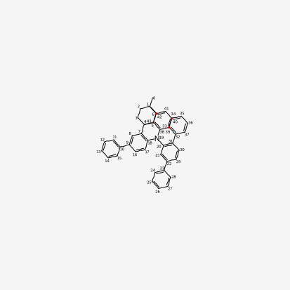 CC12CCC3(CC1)c1cc(-c4ccccc4)ccc1N(c1cc(-c4ccccc4)ccc1-c1ccccc1)c1cccc2c13